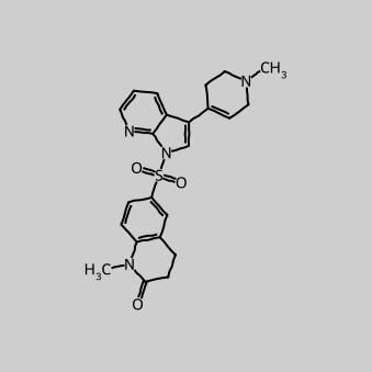 CN1CC=C(c2cn(S(=O)(=O)c3ccc4c(c3)CCC(=O)N4C)c3ncccc23)CC1